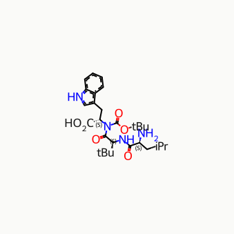 CC(C)C[C@H](N)C(=O)N[C@H](C(=O)N(C(=O)OC(C)(C)C)[C@@H](Cc1c[nH]c2ccccc12)C(=O)O)C(C)(C)C